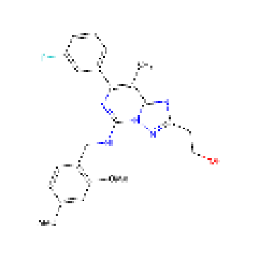 COc1ccc(CNc2nc(-c3cccc(F)c3)c(C)c3nc(CCO)nn23)c(OC)c1